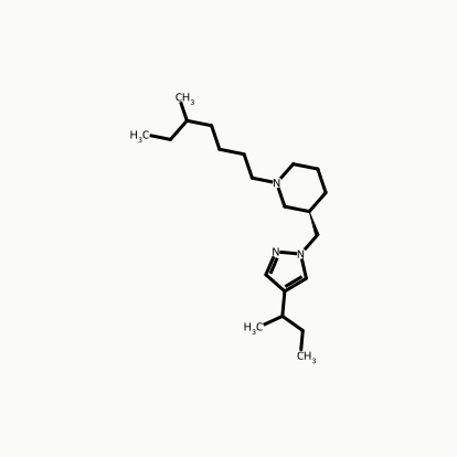 CCC(C)CCCCN1CCC[C@@H](Cn2cc(C(C)CC)cn2)C1